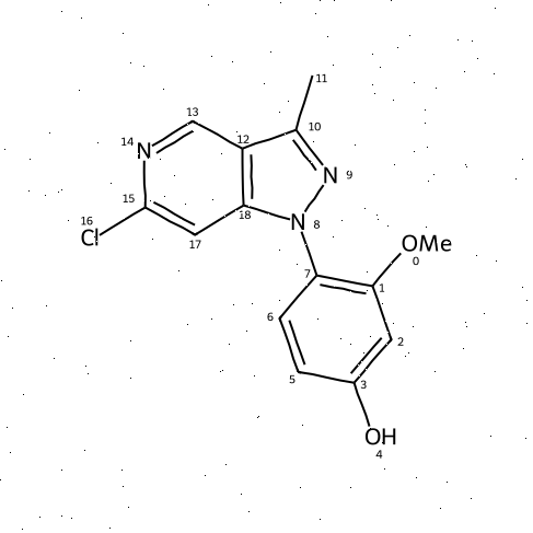 COc1cc(O)ccc1-n1nc(C)c2cnc(Cl)cc21